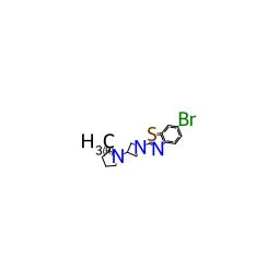 C[C@@H]1CCCN1C1CN(c2nc3ccc(Br)cc3s2)C1